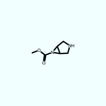 COC(=O)N1C2CNCC21